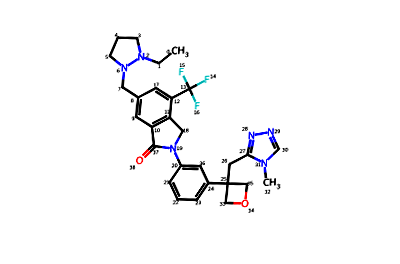 CCN1CCCN1Cc1cc2c(c(C(F)(F)F)c1)CN(c1cccc(C3(Cc4nncn4C)COC3)c1)C2=O